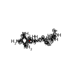 CC(=O)CC[C@@H](NC(=O)N[C@H](CCCCN(Cc1ccc(Br)nc1)C(=O)C1CCC(CNC(=S)Nc2ccc(CC3CN(CC(N)=O)CCN(CC(N)=O)CCN(CC(N)=O)CCN3CC(N)=O)cc2)CC1)C(=O)O)C(=O)O